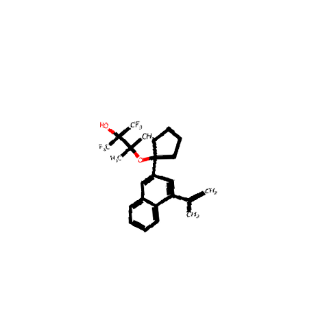 C=C(C)c1cc(C2(OC(C)(C)C(O)(C(F)(F)F)C(F)(F)F)CCCC2)cc2ccccc12